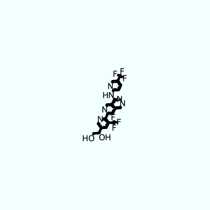 OCC(O)c1cnc(-c2cc3cnnc(Nc4ccc(C(F)(F)F)cn4)c3cn2)c(C(F)(F)F)c1